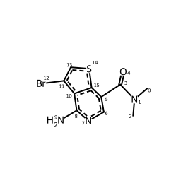 CN(C)C(=O)c1cnc(N)c2c(Br)csc12